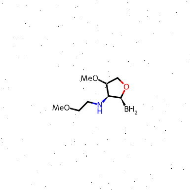 B[C@@H]1OCC(OC)[C@@H]1NCCOC